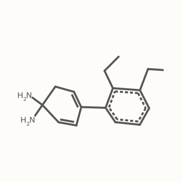 CCc1cccc(C2=CCC(N)(N)C=C2)c1CC